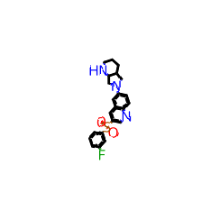 O=S(=O)(c1cccc(F)c1)c1cnc2ccc(N3CC4CCCNC4C3)cc2c1